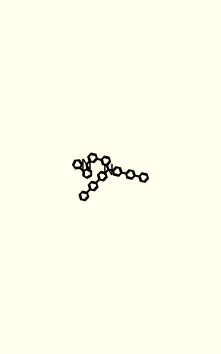 c1ccc(-c2ccc(-c3ccc(N(c4ccc(-c5ccc(-c6ccccc6)cc5)cc4)c4cccc(-c5cccc(-n6c7ccccc7c7ccccc76)c5)c4)cc3)cc2)cc1